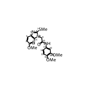 COc1ccc2nc(SC)n(CC(=O)Nc3ccc(OC)c(OC)c3)c2n1